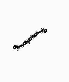 O=C(OCCOc1ccc(OC(=O)[C@H]2CC[C@H](C(=O)Oc3ccc(OCCOC(=O)N4CCCCC4)cc3)CC2)cc1)N1CCCCC1